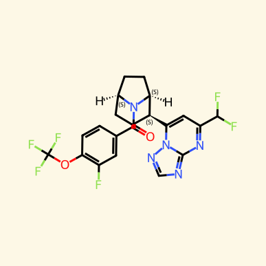 O=C(c1ccc(OC(F)(F)F)c(F)c1)N1[C@H]2CC[C@H](c3cc(C(F)F)nc4ncnn34)[C@@H]1CC2